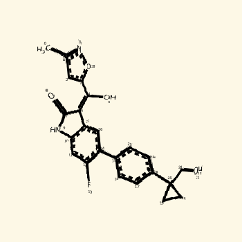 Cc1cc(C(O)=C2C(=O)Nc3cc(F)c(-c4ccc(C5(CO)CC5)cc4)cc32)on1